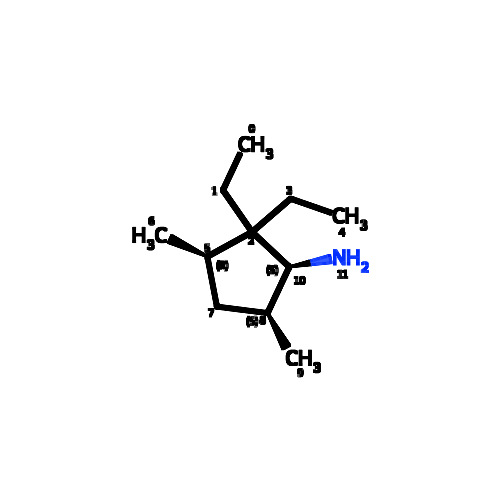 CCC1(CC)[C@H](C)C[C@H](C)[C@@H]1N